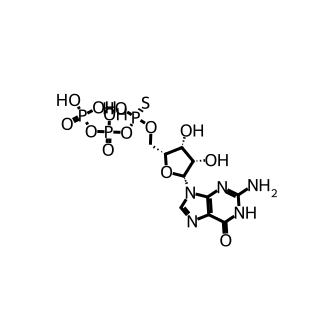 Nc1nc2c(ncn2[C@@H]2O[C@H](COP(O)(=S)OP(=O)(O)OP(=O)(O)O)[C@H](O)[C@@H]2O)c(=O)[nH]1